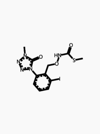 CSC(=O)NOCc1c(I)cccc1-n1nnn(C)c1=O